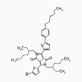 CCCCCCc1ccc(-c2ccc(C3=C4C(=O)N(CC(CC)CCCC)C(c5ccc(Br)s5)=C4C(=O)N3CC(CC)CCCC)s2)cc1